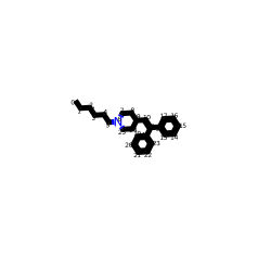 CC[CH]CCCN1CCC(C=C(c2ccccc2)c2ccccc2)CC1